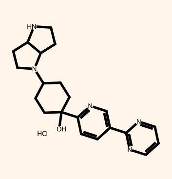 Cl.OC1(c2ccc(-c3ncccn3)cn2)CCC(N2CCC3NCCC32)CC1